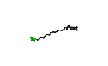 CCCCCCCC=CCCCCCBr